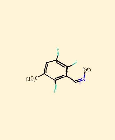 CCOC(=O)c1cc(F)c(F)c(/C=N\N=O)c1F